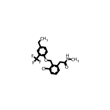 CCc1ccc(OCc2c(Cl)cccc2CC(=O)NC)c(C(F)(F)F)c1